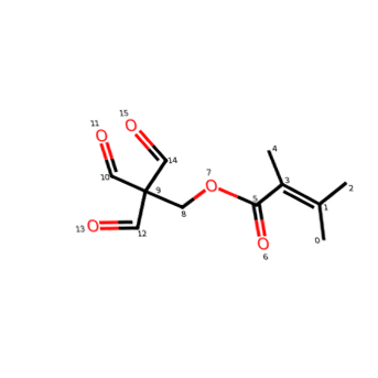 CC(C)=C(C)C(=O)OCC(C=O)(C=O)C=O